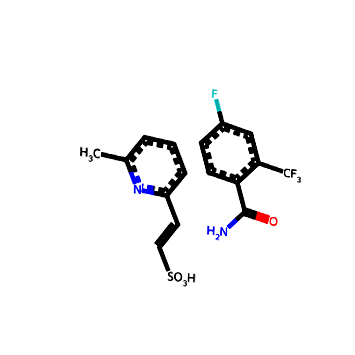 Cc1cccc(C=CS(=O)(=O)O)n1.NC(=O)c1ccc(F)cc1C(F)(F)F